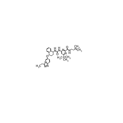 CCc1nnc2ccc(OC3CCC(NC(=O)Nc4cc(C(C)(C)C)nc(C(=O)NCCN(C)C)n4)c4ccccc43)cn12